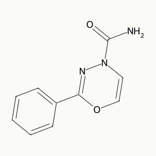 NC(=O)N1C=COC(c2ccccc2)=N1